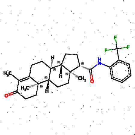 CC1=C2CC[C@H]3[C@@H]4CC[C@H](C(=O)Nc5ccccc5C(F)(F)F)[C@@]4(C)CC[C@@H]3[C@@]2(C)CCC1=O